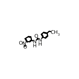 CCc1ccc(NC(=O)Nc2cccc([N+](=O)[O-])c2)cc1